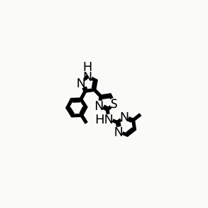 Cc1cccc(-c2n[nH]cc2-c2csc(Nc3nccc(C)n3)n2)c1